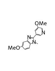 COc1cncc(-c2nc3cc(OC)ccc3n2C)c1